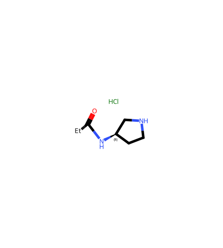 CCC(=O)N[C@@H]1CCNC1.Cl